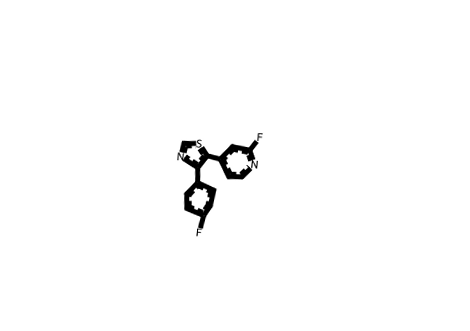 Fc1ccc(-c2ncsc2-c2ccnc(F)c2)cc1